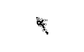 C=CCOC(=O)O[C@H](C)[C@H]1C(=O)N2C(C(=O)O)=C3[C@@H](O[Si](C)(C)C)CCC[C@@H]3[C@H]12